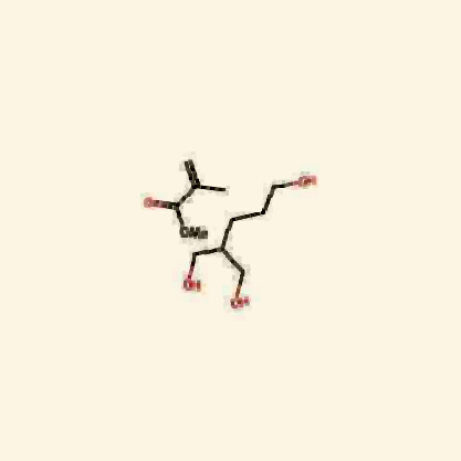 C=C(C)C(=O)OC.OCCCC(CO)CO